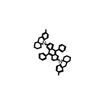 Cc1ccc2c(c1)CC1CCCCC1N2c1ccc2c(-c3ccccc3)c3cc(N4c5ccc(C)cc5CC5CCCCC54)ccc3c(-c3ccccc3)c2c1